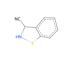 N#CC1NSc2ccccc21